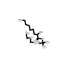 CCCCCCCC(O)C(=O)OC(C)(C)C.CCOCC